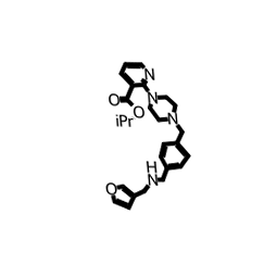 CC(C)OC(=O)c1cccnc1N1CCN(Cc2ccc(CNCc3ccoc3)cc2)CC1